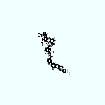 CCc1nc2c(cnn2CC)c(NC2CCOCC2)c1CNC(=O)c1cccc(C(=O)NCc2cccc(-c3cccc(CC4CCN(C)CC4)c3)c2)n1